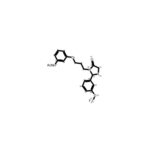 CC(=O)Nc1cccc(OCCCN2C(=O)CSC2c2cccc(OC(F)(F)F)c2)c1